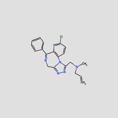 C=CCN(C)Cc1nnc2n1-c1ccc(Cl)cc1C(c1ccccc1)=NC2